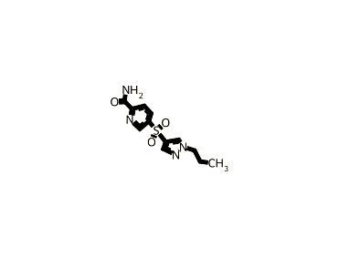 CCCn1cc(S(=O)(=O)c2ccc(C(N)=O)nc2)cn1